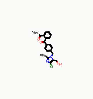 CCCCc1nc(Cl)c(CO)n1Cc1ccc(C(=O)c2ccccc2C(=O)OC)cc1